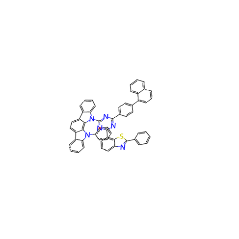 c1ccc(-c2nc3cccc(-c4nc(-c5ccc(-c6cccc7ccccc67)cc5)nc(-n5c6ccccc6c6ccc7c8ccccc8n(-c8ccccc8)c7c65)n4)c3s2)cc1